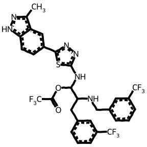 Cc1n[nH]c2ccc(-c3nnc(NC(OC(=O)C(F)(F)F)C(Cc4cccc(C(F)(F)F)c4)NCc4cccc(C(F)(F)F)c4)s3)cc12